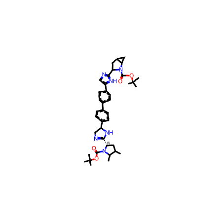 CC1C[C@@H](C2=NCC(c3ccc(-c4ccc(-c5cnc(C6CC7CC7N6C(=O)OC(C)(C)C)[nH]5)cc4)cc3)N2)N(C(=O)OC(C)(C)C)C1C